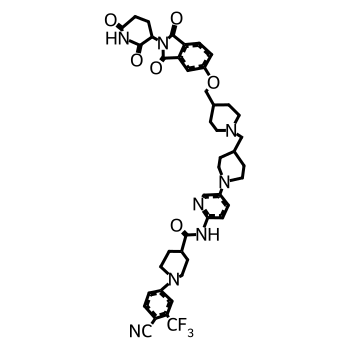 N#Cc1ccc(N2CCC(C(=O)Nc3ccc(N4CCC(CN5CCC(COc6ccc7c(c6)C(=O)N(C6CCC(=O)NC6=O)C7=O)CC5)CC4)cn3)CC2)cc1C(F)(F)F